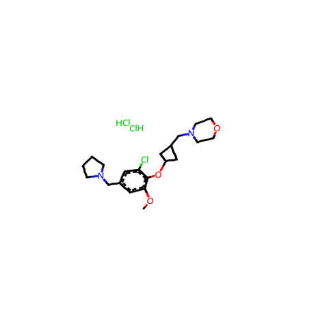 COc1cc(CN2CCCC2)cc(Cl)c1OC1CC(CN2CCOCC2)C1.Cl.Cl